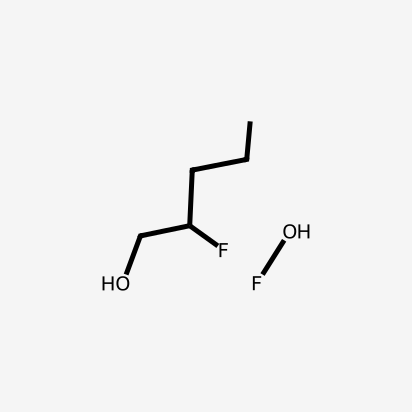 CCCC(F)CO.OF